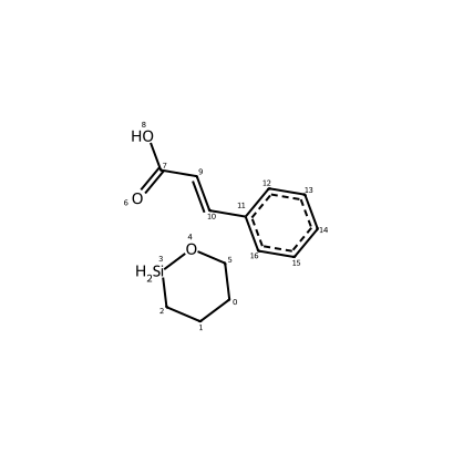 C1CC[SiH2]OC1.O=C(O)C=Cc1ccccc1